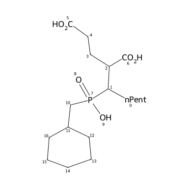 CCCCCC(C(CCC(=O)O)C(=O)O)P(=O)(O)CC1CCCCC1